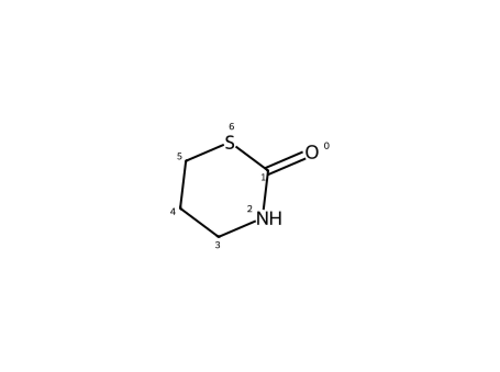 O=C1NCCCS1